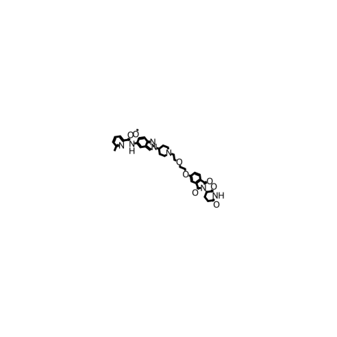 COc1cc2nn(C3CCN(CCOCCOc4ccc5c(c4)C(=O)N(C4CCC(=O)NC4=O)C5=O)CC3)cc2cc1NC(=O)c1cccc(C)n1